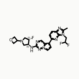 Cc1nc2ccc(-c3ccn4nc(N[C@H]5CN(C6COC6)C[C@@H]5F)ncc34)nc2n1CC(F)F